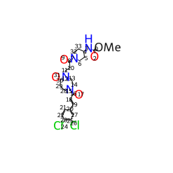 COC(=O)NC1CCN(C(=O)CCN2CCN(C(=O)C=Cc3ccc(Cl)c(Cl)c3)CCC2=O)CC1